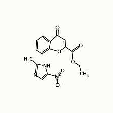 CCOC(=O)c1cc(=O)c2ccccc2o1.Cc1ncc([N+](=O)[O-])[nH]1